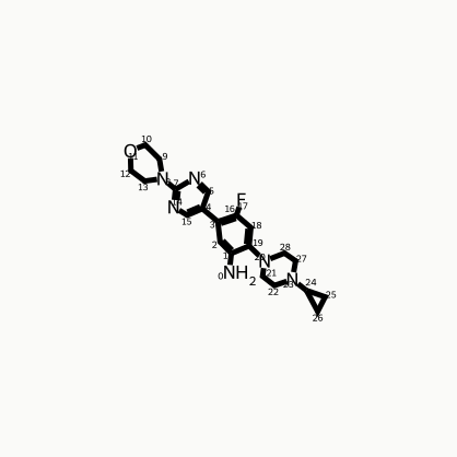 Nc1cc(-c2cnc(N3CCOCC3)nc2)c(F)cc1N1CCN(C2CC2)CC1